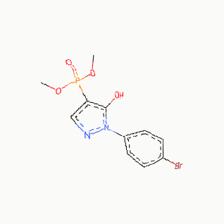 COP(=O)(OC)c1cnn(-c2ccc(Br)cc2)c1O